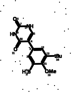 Bc1cc(-c2c[nH]c(=O)[nH]c2=O)cc(C(C)(C)C)c1OC